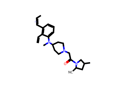 C=Cc1c(/C=C\C)cccc1N(C)C1CCN(CC(=O)N2CC(C)CC2C#N)CC1